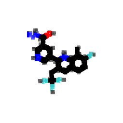 Cc1c(F)ccc2cc([CH]C(F)(F)F)c(-c3cncc(C(N)=O)c3)nc12